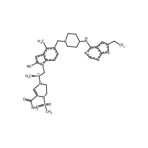 Cc1c(CN2CCC(Nc3ncnc4sc(CC(F)(F)F)cc34)CC2)ccc2c1cc(C#N)n2C[C@H](C)N1C=C(C(N)=O)N(S(C)(=O)=O)CC1